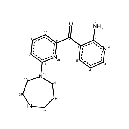 Nc1ncccc1C(=O)c1cccc(N2CCCNCC2)n1